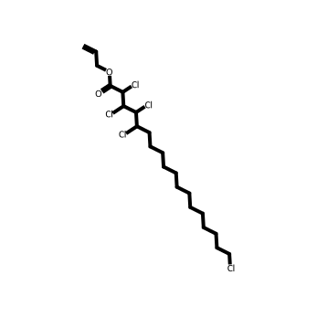 C=CCOC(=O)C(Cl)C(Cl)C(Cl)C(Cl)CCCCCCCCCCCCCCl